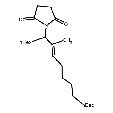 CCCCCCCCCCCCCC/C=C(\C)C(CCCCCC)N1C(=O)CCC1=O